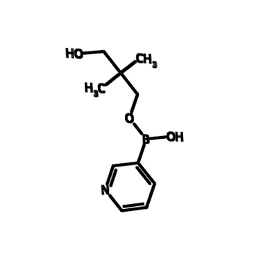 CC(C)(CO)COB(O)c1cccnc1